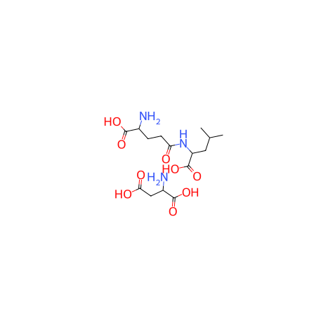 CC(C)CC(NC(=O)CCC(N)C(=O)O)C(=O)O.NC(CC(=O)O)C(=O)O